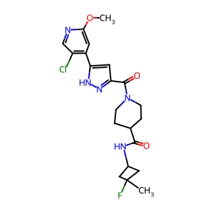 COc1cc(-c2cc(C(=O)N3CCC(C(=O)NC4CC(C)(F)C4)CC3)n[nH]2)c(Cl)cn1